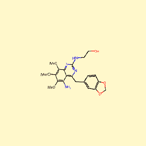 COc1c(OC)c(N)c2c(Cc3ccc4c(c3)OCO4)nc(NCCO)nc2c1OC